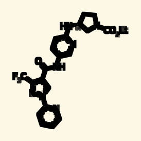 CCOC(=O)N1CC[C@H](Nc2ccc(NC(=O)c3cn(-c4ccccn4)nc3C(F)(F)F)cn2)C1